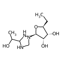 CC[C@@H]1O[C@H](N2CNC(C(C)O)N2)[C@@H](O)[C@H]1O